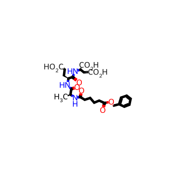 C[C@H](NC(=O)CCCCC(=O)OCc1ccccc1)C(=O)N[C@@H](CCC(=O)O)C(=O)N[C@@H](CC(=O)O)C(=O)O